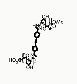 COC(=O)N[C@H](C(=O)N1C[C@H](O)C[C@H]1c1nc(-c2ccc(C#Cc3ccc(-c4c[nH]c([C@@H]5C[C@@H](O)CN5C(=O)[C@H](C(C)C)N(C)C(=O)O)n4)cc3)cc2)c[nH]1)C(C)C